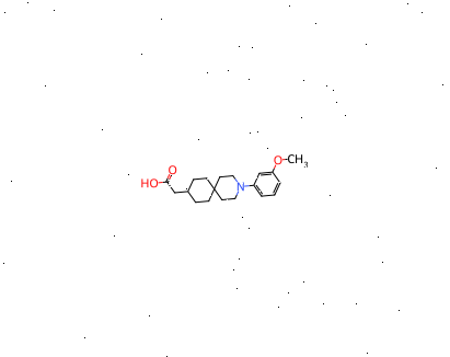 COc1cccc(N2CCC3(CCC(CC(=O)O)CC3)CC2)c1